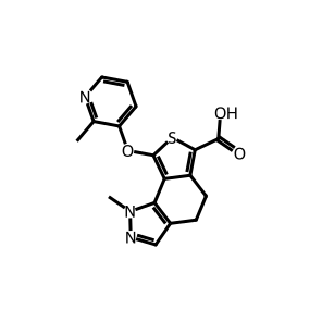 Cc1ncccc1Oc1sc(C(=O)O)c2c1-c1c(cnn1C)CC2